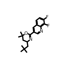 CC(C)(C)CC1CC(C)(C)OC(c2cnc3c(F)c(F)ccc3c2)=N1